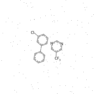 Clc1cccc(-c2ccccc2)c1.FC(F)(F)c1cncnc1